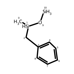 C[SiH](Cc1ccccc1)O[SiH3]